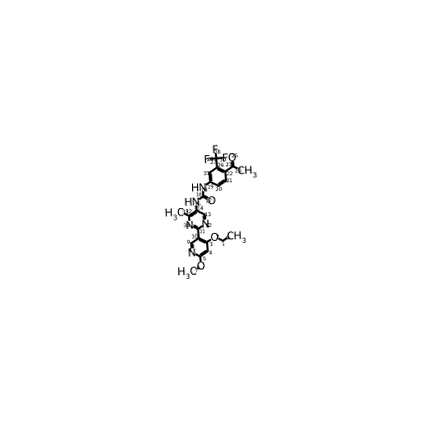 CCOc1cc(OC)ncc1-c1ncc(NC(=O)Nc2ccc(C(C)=O)c(C(F)(F)F)c2)c(C)n1